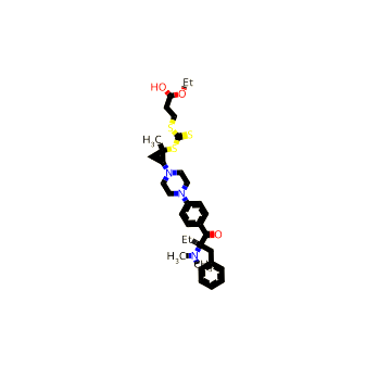 CCOC(O)CCSC(=S)SC1(C)C=C1N1CCN(c2ccc(C(=O)C(CC)(Cc3ccccc3)N(C)C)cc2)CC1